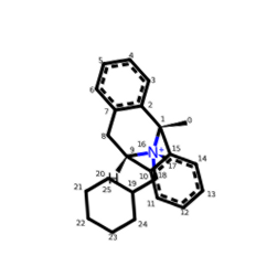 C[C@@]12c3ccccc3C[C@@H](c3ccccc31)[N@@+]2(C)CC1CCCCC1